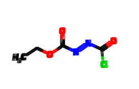 CCOC(=O)N=NC(=O)Cl